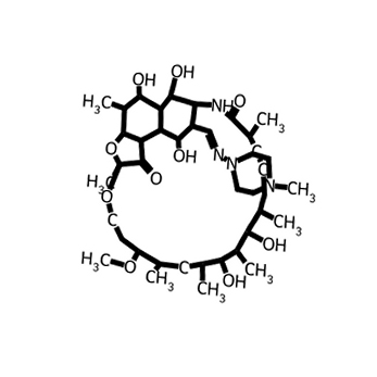 COC1CCOC2(C)OC3C(C)C(O)C4C(O)C(NC(=O)C(C)CCCC(C)C(O)C(C)C(O)C(C)CC1C)C(/C=N/N1CCN(C)CC1)C(O)C4C3C2=O